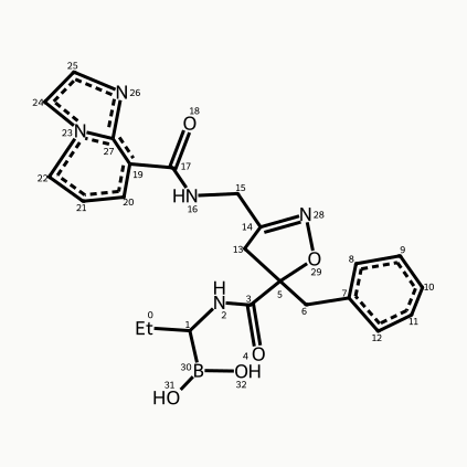 CCC(NC(=O)C1(Cc2ccccc2)CC(CNC(=O)c2cccn3ccnc23)=NO1)B(O)O